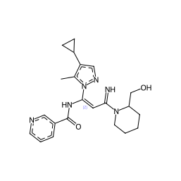 Cc1c(C2CC2)cnn1/C(=C\C(=N)N1CCCCC1CO)NC(=O)c1cccnc1